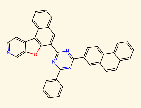 c1ccc(-c2nc(-c3ccc4c(ccc5ccccc54)c3)nc(-c3cc4ccccc4c4c3oc3cnccc34)n2)cc1